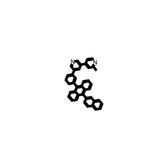 Cc1cc(-c2cncc(C3=CCCC(c4c5ccccc5c(-c5ccc6ccccc6c5)c5ccccc45)=C3)c2)ccn1